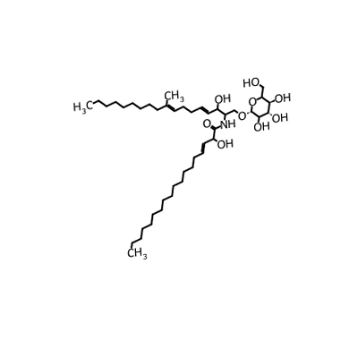 CCCCCCCCCCCCCC/C=C/C(O)C(=O)NC(CO[C@@H]1OC(CO)[C@@H](O)[C@H](O)C1O)C(O)/C=C/CC/C=C(\C)CCCCCCCCC